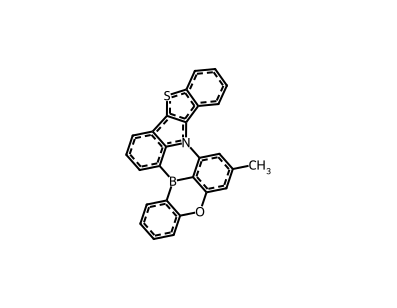 Cc1cc2c3c(c1)-n1c4c(cccc4c4sc5ccccc5c41)B3c1ccccc1O2